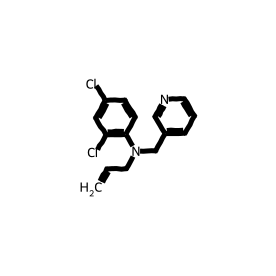 C=CCN(Cc1cccnc1)c1ccc(Cl)cc1Cl